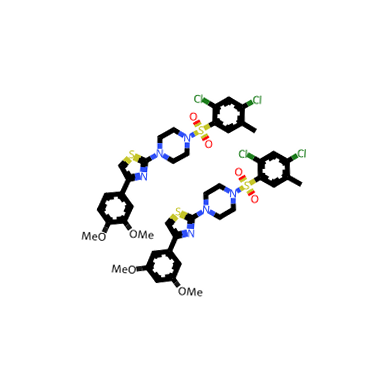 COc1cc(OC)cc(-c2csc(N3CCN(S(=O)(=O)c4cc(C)c(Cl)cc4Cl)CC3)n2)c1.COc1ccc(-c2csc(N3CCN(S(=O)(=O)c4cc(C)c(Cl)cc4Cl)CC3)n2)cc1OC